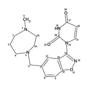 CN1CCCN(Cc2ccc3onc(-n4ccc(=O)[nH]c4=O)c3c2)CC1